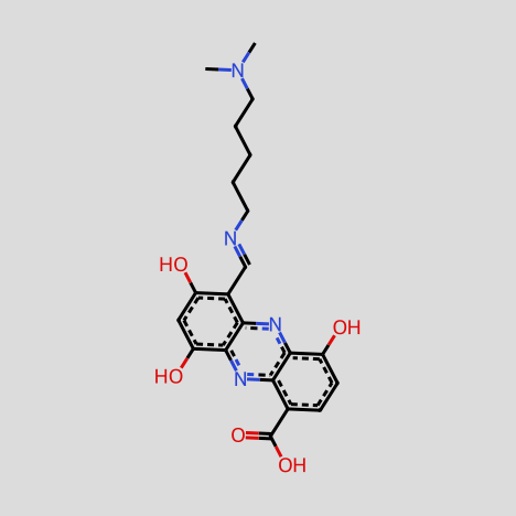 CN(C)CCCCCN=Cc1c(O)cc(O)c2nc3c(C(=O)O)ccc(O)c3nc12